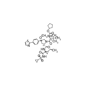 C=CC1C[C@]1(NC(=O)[C@@H]1C[C@@](OC)(c2ccc(-c3nccs3)cc2)CN1C(=O)[C@@H](NC(=O)OC1CCCC1)C(C)(C)C)C(=O)NS(=O)(=O)C1CC1